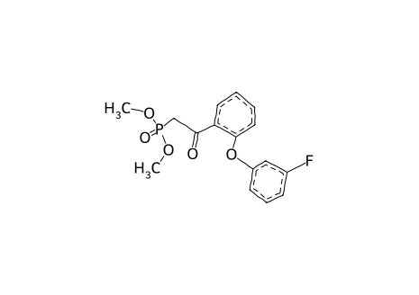 COP(=O)(CC(=O)c1ccccc1Oc1cccc(F)c1)OC